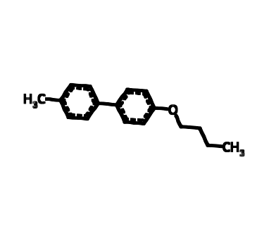 CCCCOc1ccc(-c2ccc(C)cc2)cc1